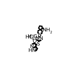 Cl.Cn1c(N2CCC3(CCC[C@H]3N)CC2)ncc(Sc2ccnc3[nH]ccc23)c1=O